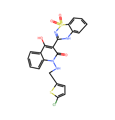 O=c1c(C2=NS(=O)(=O)c3ccccc3N2)c(O)c2ccccc2n1NCc1ccc(Cl)s1